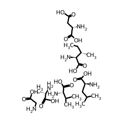 CC(C)C[C@H](N)C(=O)O.CC(C)[C@H](N)C(=O)O.CC[C@H](C)[C@H](N)C(=O)O.C[C@H](N)C(=O)O.NCC(=O)O.N[C@@H](CC(=O)O)C(=O)O